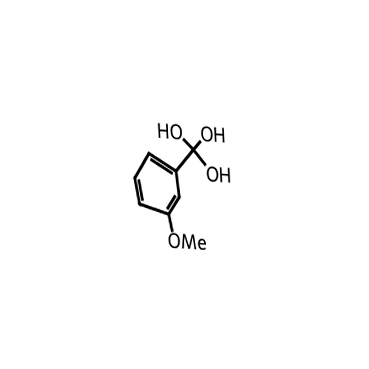 COc1cccc(C(O)(O)O)c1